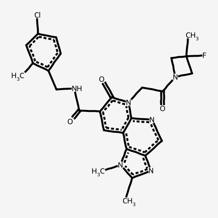 Cc1cc(Cl)ccc1CNC(=O)c1cc2c3c(cnc2n(CC(=O)N2CC(C)(F)C2)c1=O)nc(C)n3C